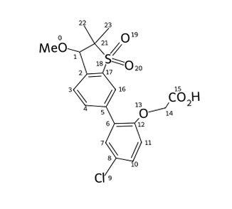 COC1c2ccc(-c3cc(Cl)ccc3OCC(=O)O)cc2S(=O)(=O)C1(C)C